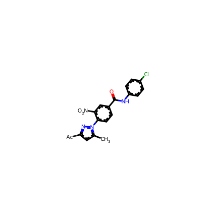 CC(=O)c1cc(C)n(-c2ccc(C(=O)Nc3ccc(Cl)cc3)cc2[N+](=O)[O-])n1